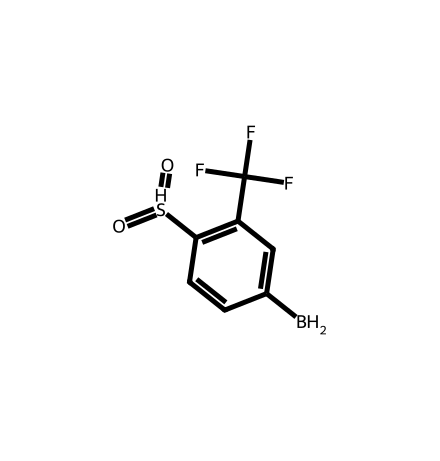 Bc1ccc([SH](=O)=O)c(C(F)(F)F)c1